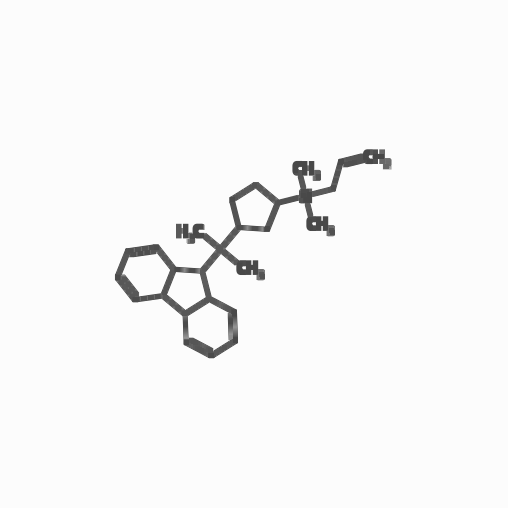 C=CC[Si](C)(C)C1CCC(C(C)(C)C2C3C=CC=CC3C3C=CC=CC32)C1